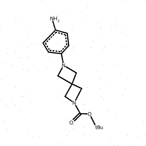 CC(C)(C)OC(=O)N1CC2(C1)CN(c1ccc(N)cc1)C2